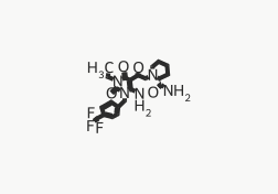 CCn1c(=O)c(C(=O)CN2CCCC[C@@H]2C(N)=O)c(N)n(Cc2ccc(C(F)(F)F)cc2)c1=O